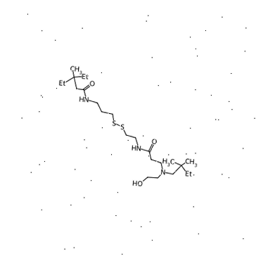 CCC(C)(C)CN(CCO)CCC(=O)NCCSSCCCNC(=O)CC(C)(CC)CC